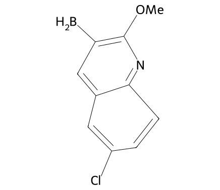 Bc1cc2cc(Cl)ccc2nc1OC